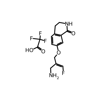 NCC(=CF)COc1ccc2c(c1)C(=O)NCC2.O=C(O)C(F)(F)F